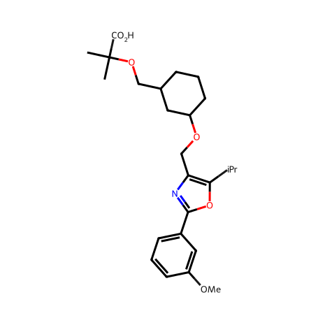 COc1cccc(-c2nc(COC3CCCC(COC(C)(C)C(=O)O)C3)c(C(C)C)o2)c1